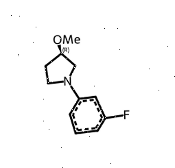 CO[C@@H]1CCN(c2cccc(F)c2)C1